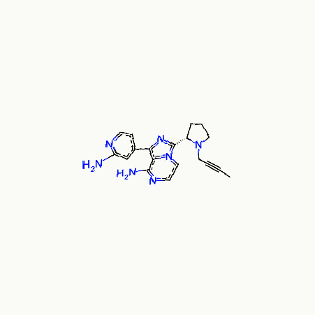 CC#CCN1CCC[C@H]1c1nc(-c2ccnc(N)c2)c2c(N)nccn12